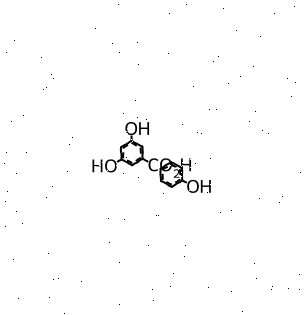 O=C(O)c1cc(O)cc(O)c1.Oc1ccccc1